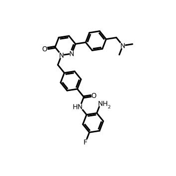 CN(C)Cc1ccc(-c2ccc(=O)n(Cc3ccc(C(=O)Nc4cc(F)ccc4N)cc3)n2)cc1